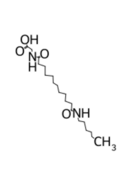 CCCCCCNC(=O)CCCCCCCCCCC(=O)NCC(=O)O